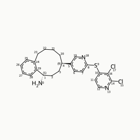 N[C@H]1CC[C@H](c2ccc(Sc3ccnc(Cl)c3Cl)nc2)CCCCc2ccccc21